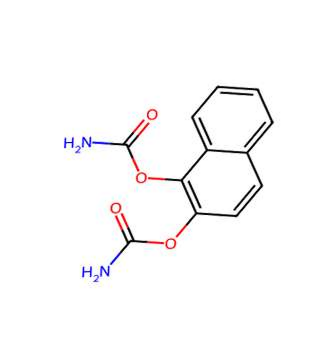 NC(=O)Oc1ccc2ccccc2c1OC(N)=O